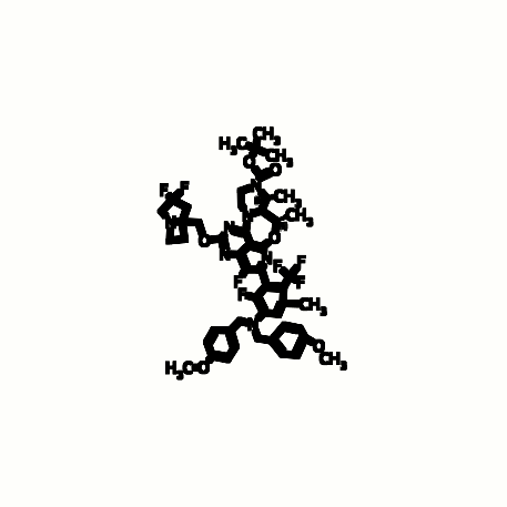 COc1ccc(CN(Cc2ccc(OC)cc2)c2cc(C)c(C(F)(F)F)c(-c3nc4c5c(nc(OCC67CCN6CC(F)(F)C7)nc5c3F)N3CCN(C(=O)OC(C)(C)C)[C@@H](C)C3[C@H](C)O4)c2F)cc1